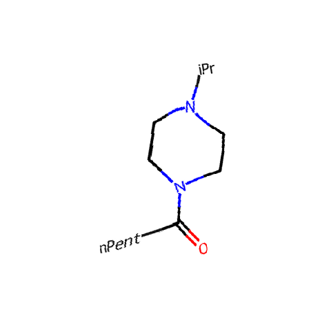 CCCCCC(=O)N1CCN(C(C)C)CC1